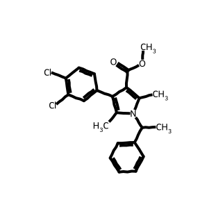 COC(=O)c1c(-c2ccc(Cl)c(Cl)c2)c(C)n(C(C)c2ccccc2)c1C